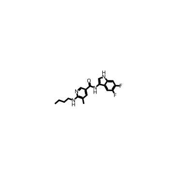 CCCCNc1ncc(C(=O)Nc2c[nH]c3cc(F)c(F)cc23)cc1C